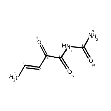 C/C=C/C(=O)C(=O)NC(N)=O